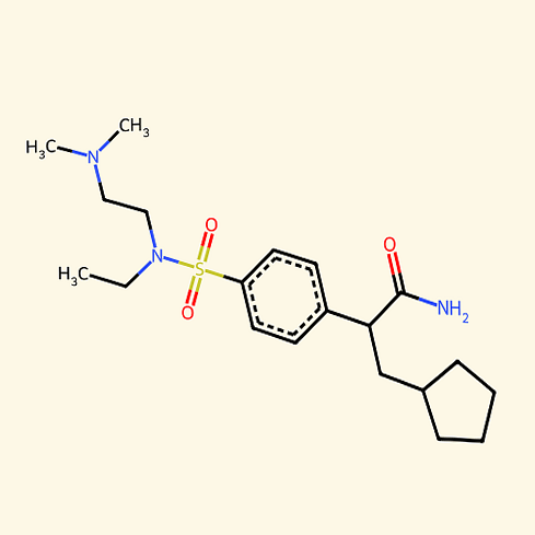 CCN(CCN(C)C)S(=O)(=O)c1ccc(C(CC2CCCC2)C(N)=O)cc1